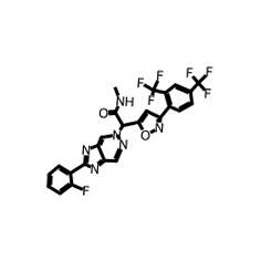 CNC(=O)C(c1cc(-c2ccc(C(F)(F)F)cc2C(F)(F)F)no1)n1cc2nc(-c3ccccc3F)nc-2cn1